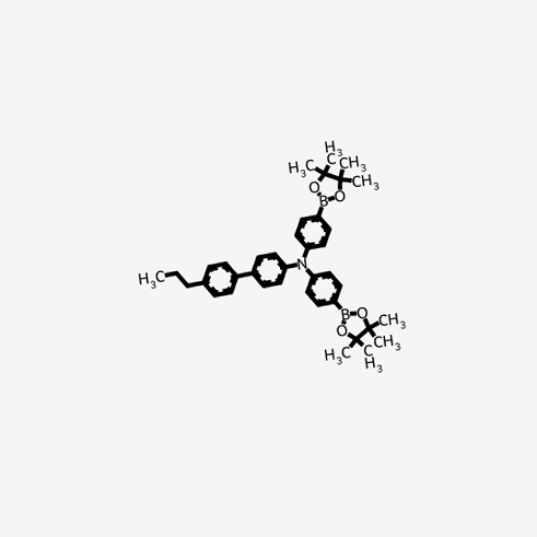 CCCc1ccc(-c2ccc(N(c3ccc(B4OC(C)(C)C(C)(C)O4)cc3)c3ccc(B4OC(C)(C)C(C)(C)O4)cc3)cc2)cc1